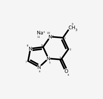 Cc1cc(=O)n2ncnc2[n-]1.[Na+]